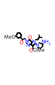 COC(=O)c1c(N2CCC[C@@H](N)C2)n(CC=C(C)C)c2c(=O)n(CC(=O)c3cccc(OC)c3)cnc12